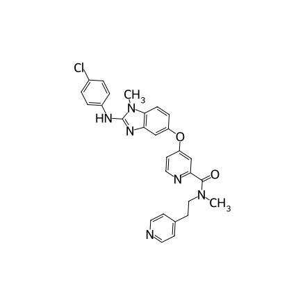 CN(CCc1ccncc1)C(=O)c1cc(Oc2ccc3c(c2)nc(Nc2ccc(Cl)cc2)n3C)ccn1